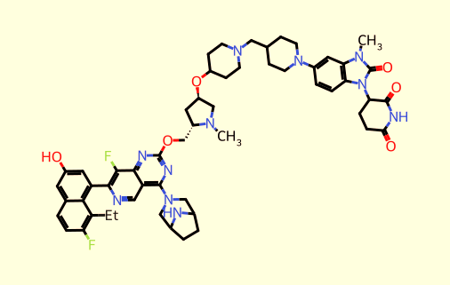 CCc1c(F)ccc2cc(O)cc(-c3ncc4c(N5CC6CCC(C5)N6)nc(OC[C@@H]5C[C@@H](OC6CCN(CC7CCN(c8ccc9c(c8)n(C)c(=O)n9C8CCC(=O)NC8=O)CC7)CC6)CN5C)nc4c3F)c12